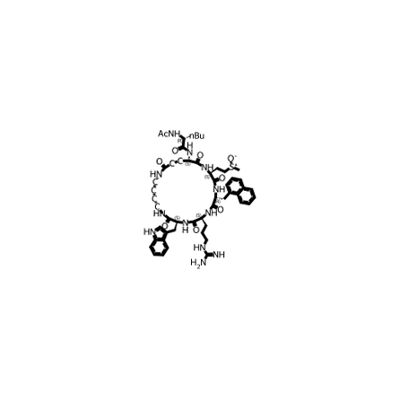 CCCC[C@@H](NC(C)=O)C(=O)N[C@H]1CCC(=O)NCCCCNC(=O)[C@H](Cc2c[nH]c3ccccc23)NC(=O)[C@H](CCCNC(=N)N)NC(=O)[C@@H](Cc2cccc3ccccc23)NC(=O)[C@H](CC[S+](C)[O-])NC1=O